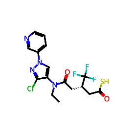 CCN(C(=O)C[C@@H](CC(=O)S)C(F)(F)F)c1cn(-c2cccnc2)nc1Cl